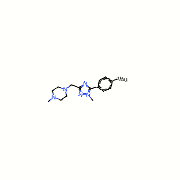 CN1CCN(Cc2nc(-c3ccc(C(C)(C)C)cc3)n(C)n2)CC1